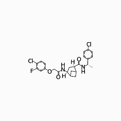 C[C@H](NC(=O)[C@@H]1C[C@H](NC(=O)COc2ccc(Cl)c(F)c2)C2CC1C2)c1ccc(Cl)cc1